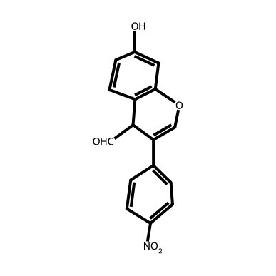 O=CC1C(c2ccc([N+](=O)[O-])cc2)=COc2cc(O)ccc21